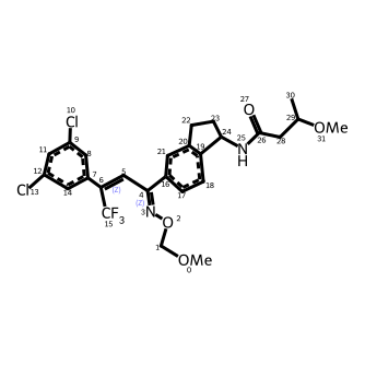 COCO/N=C(/C=C(/c1cc(Cl)cc(Cl)c1)C(F)(F)F)c1ccc2c(c1)CCC2NC(=O)CC(C)OC